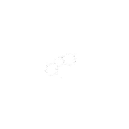 Cc1ccc2c(c1)sc1cccc(I)c12